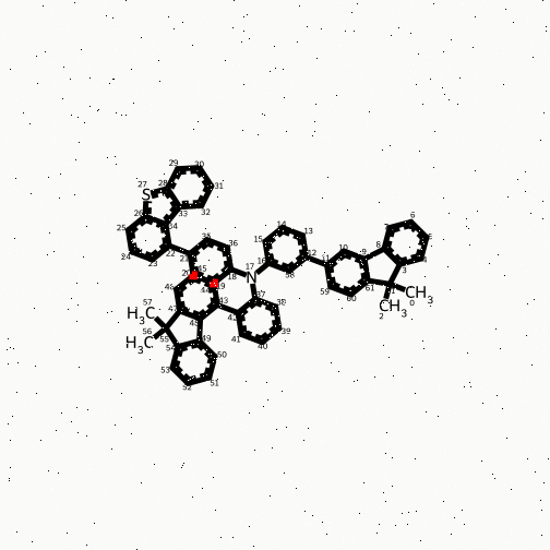 CC1(C)c2ccccc2-c2cc(-c3cccc(N(c4ccc(-c5cccc6sc7ccccc7c56)cc4)c4ccccc4-c4cccc5c4-c4ccccc4C5(C)C)c3)ccc21